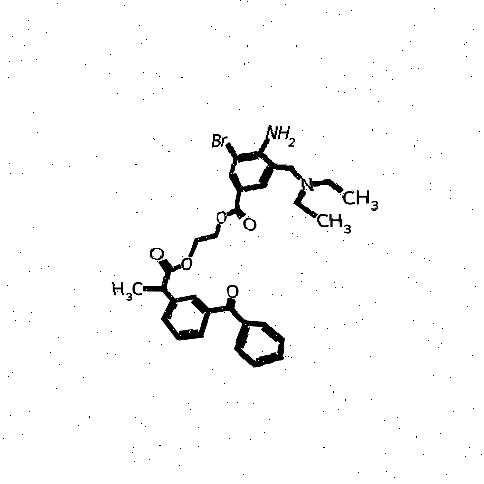 CCN(CC)Cc1cc(C(=O)OCCOC(=O)C(C)c2cccc(C(=O)c3ccccc3)c2)cc(Br)c1N